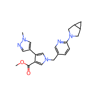 COC(=O)c1cn(Cc2ccc(N3CC4CC4C3)nc2)cc1-c1cnn(C)c1